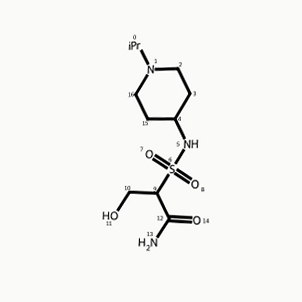 CC(C)N1CCC(NS(=O)(=O)C(CO)C(N)=O)CC1